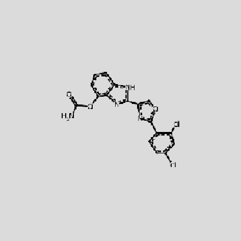 NC(=O)Oc1cccc2[nH]c(-c3coc(-c4ccc(Cl)cc4Cl)n3)nc12